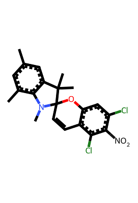 Cc1cc(C)c2c(c1)C(C)(C)C1(C=Cc3c(cc(Cl)c([N+](=O)[O-])c3Cl)O1)N2C